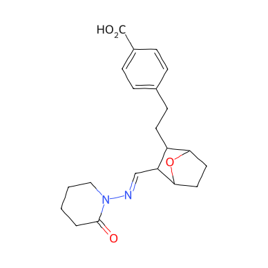 O=C(O)c1ccc(CCC2C3CCC(O3)C2C=NN2CCCCC2=O)cc1